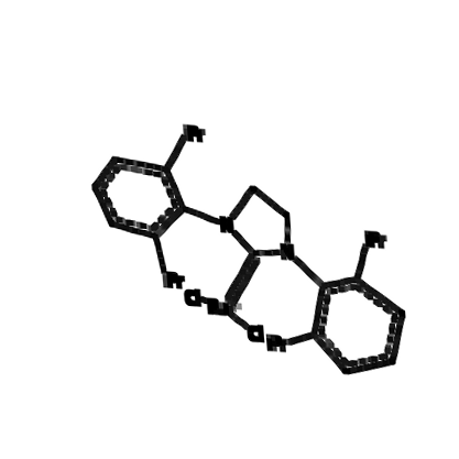 CC(C)c1cccc(C(C)C)c1N1CCN(c2c(C(C)C)cccc2C(C)C)[C]1=[Ru-2]([Cl])[Cl]